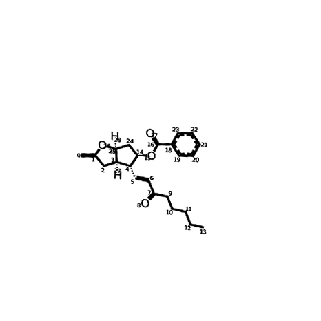 C=C1C[C@@H]2[C@@H](/C=C/C(=O)CCCCC)[C@H](OC(=O)c3ccccc3)C[C@@H]2O1